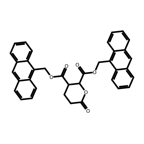 O=C1CCC(C(=O)OCc2c3ccccc3cc3ccccc23)C(C(=O)OCc2c3ccccc3cc3ccccc23)O1